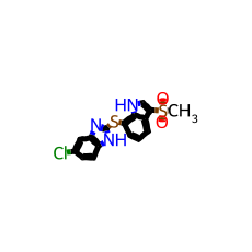 CS(=O)(=O)c1c[nH]c2c(Sc3nc4cc(Cl)ccc4[nH]3)cccc12